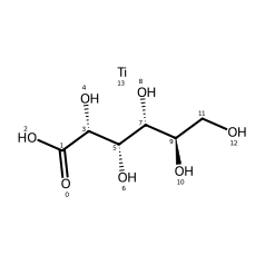 O=C(O)[C@H](O)[C@@H](O)[C@H](O)[C@H](O)CO.[Ti]